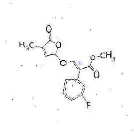 COC(=O)/C(=C/OC1C=C(C)C(=O)O1)c1cccc(F)c1